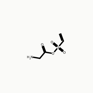 C=CS(=O)(=O)OC(=O)CN